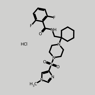 Cl.Cn1cnc(S(=O)(=O)N2CCN(C3(CNC(=O)c4c(F)cccc4F)CCCCC3)CC2)c1